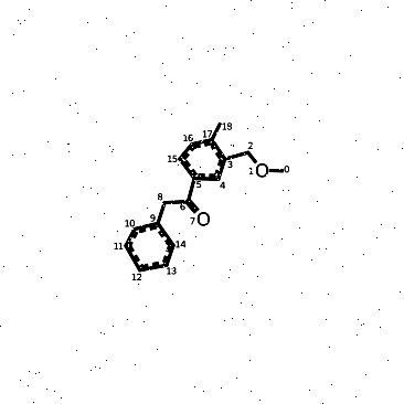 COCc1cc(C(=O)Cc2ccccc2)ccc1C